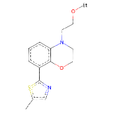 CCOCCN1CCOc2c(-c3ncc(C)s3)cccc21